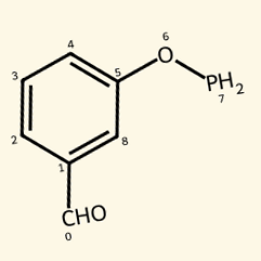 O=Cc1cccc(OP)c1